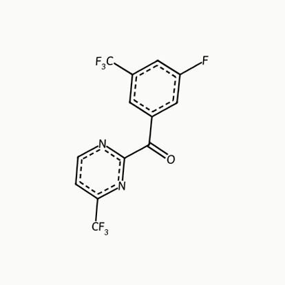 O=C(c1cc(F)cc(C(F)(F)F)c1)c1nccc(C(F)(F)F)n1